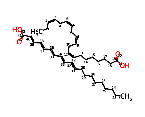 CC/C=C\C/C=C\C/C=C\C/C=C\CCCCCCC(=O)O.CCCCCCCCCC=CC=CC=CC=CC=CC(=O)O